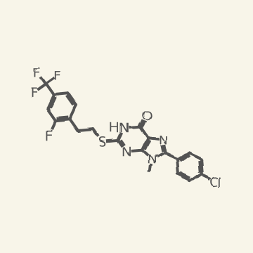 Cn1c(-c2ccc(Cl)cc2)nc2c(=O)[nH]c(SCCc3ccc(C(F)(F)F)cc3F)nc21